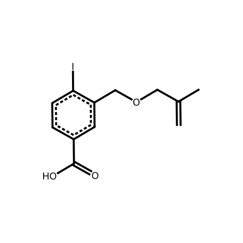 C=C(C)COCc1cc(C(=O)O)ccc1I